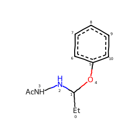 CCC(NNC(C)=O)Oc1ccccc1